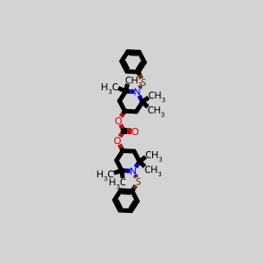 CC1(C)CC(OC(=O)OC2CC(C)(C)N(Sc3ccccc3)C(C)(C)C2)CC(C)(C)N1Sc1ccccc1